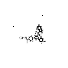 Cc1ccc(-n2nc(C3CCC(NC=O)CC3)cc2NC(=O)c2cnn3cccnc23)cc1